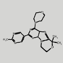 Cc1ncc(C2=NC3C(N=C4N3CCOC4(C)C)C(N3CCOCC3)=N2)cn1